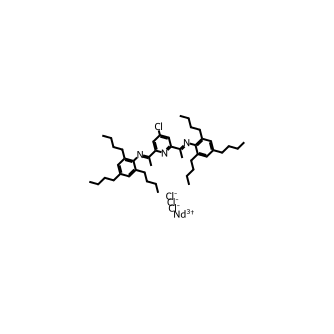 CCCCc1cc(CCCC)c(N=C(C)c2cc(Cl)cc(C(C)=Nc3c(CCCC)cc(CCCC)cc3CCCC)n2)c(CCCC)c1.[Cl-].[Cl-].[Cl-].[Nd+3]